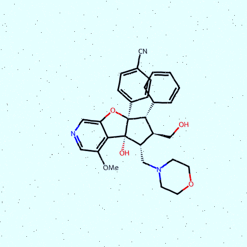 COc1cncc2c1[C@]1(O)[C@@H](CN3CCOCC3)[C@H](CO)[C@@H](C3C=CC=CC3)[C@]1(c1ccc(C#N)cc1)O2